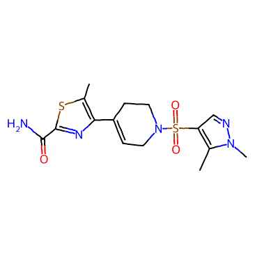 Cc1sc(C(N)=O)nc1C1=CCN(S(=O)(=O)c2cnn(C)c2C)CC1